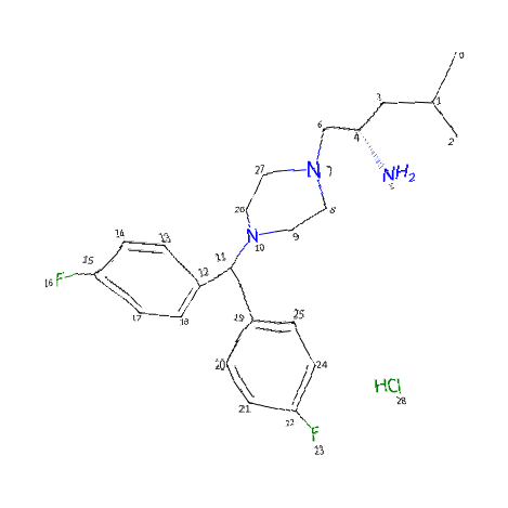 CC(C)C[C@H](N)CN1CCN(C(c2ccc(F)cc2)c2ccc(F)cc2)CC1.Cl